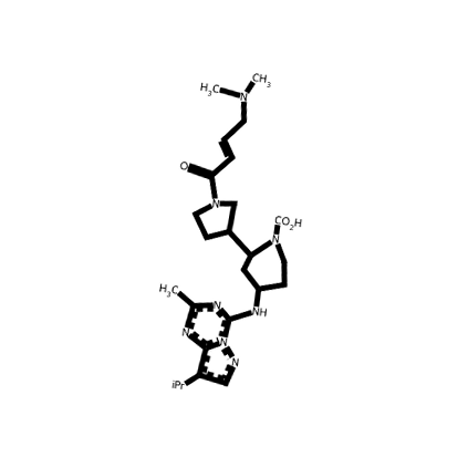 Cc1nc(NC2CCN(C(=O)O)C(C3CCN(C(=O)/C=C/CN(C)C)C3)C2)n2ncc(C(C)C)c2n1